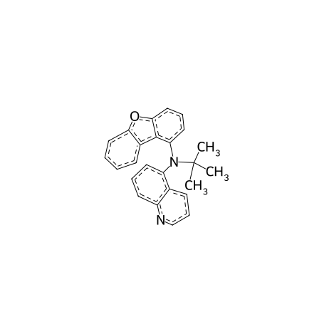 CC(C)(C)N(c1cccc2ncccc12)c1cccc2oc3ccccc3c12